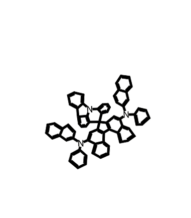 c1ccc(N(c2ccc3ccccc3c2)c2cc3c(c4ccccc24)-c2c(cc(N(c4ccccc4)c4ccc5ccccc5c4)c4ccccc24)C32c3ccccc3-n3c4ccccc4c4cccc2c43)cc1